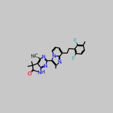 Cc1ccc(F)c(CCc2cccn3c(-c4nc(C#N)c5c(n4)NC(=O)C5(C)C)c(C)nc23)c1F